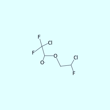 [O]C(OCC(F)Cl)C(F)(F)Cl